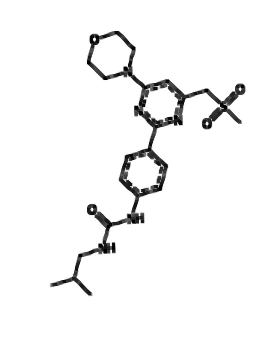 CC(C)CNC(=O)Nc1ccc(-c2nc(CS(C)(=O)=O)cc(N3CCOCC3)n2)cc1